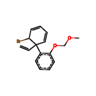 C=CC1(c2ccccc2OCOC)C=CC=CC1Br